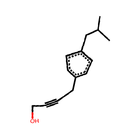 CC(C)Cc1ccc(CC#CCO)cc1